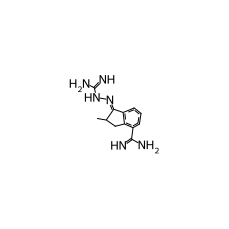 CC1Cc2c(C(=N)N)cccc2/C1=N/NC(=N)N